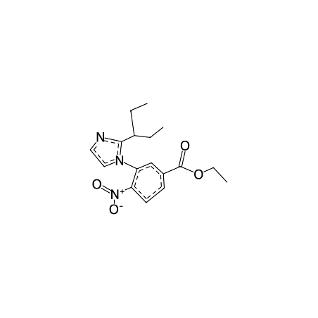 CCOC(=O)c1ccc([N+](=O)[O-])c(-n2ccnc2C(CC)CC)c1